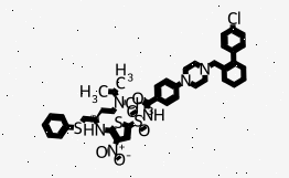 CC(C)N(C)CC[C@H](CSc1ccccc1)Nc1sc(S(=O)(=O)NC(=O)c2ccc(N3CCN(CC4=C(c5ccc(Cl)cc5)CCCC4)CC3)cc2)cc1[N+](=O)[O-]